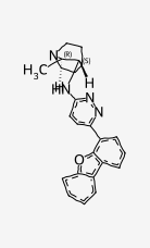 C[C@@H]1[C@@H](Nc2ccc(-c3cccc4c3oc3ccccc34)nn2)C2CCN1CC2